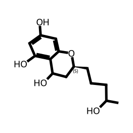 CC(O)CCC[C@H]1CC(O)c2c(O)cc(O)cc2O1